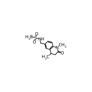 BS(=O)(=O)NCc1ccc2c(c1)C(C)CC(=O)N2C